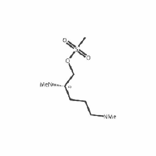 CNCCC[C@@H](COS(C)(=O)=O)NC